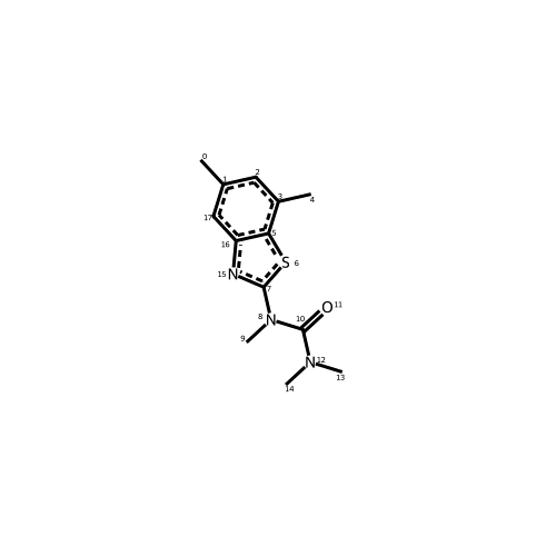 Cc1cc(C)c2sc(N(C)C(=O)N(C)C)nc2c1